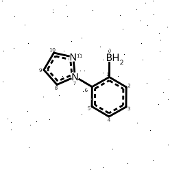 Bc1ccccc1-n1cccn1